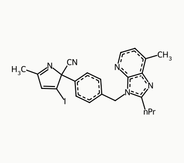 CCCc1nc2c(C)ccnc2n1Cc1ccc(C2(C#N)N=C(C)C=C2I)cc1